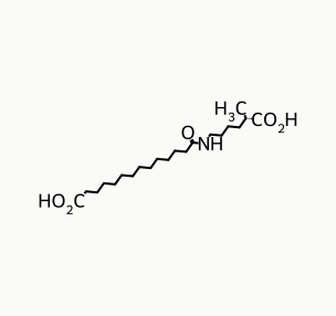 C[C@@H](CCCCNC(=O)CCCCCCCCCCCCC(=O)O)C(=O)O